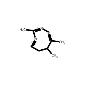 CC1=N/N=C(/C)C(C)C\C=N\1